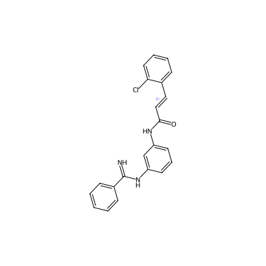 N=C(Nc1cccc(NC(=O)/C=C/c2ccccc2Cl)c1)c1ccccc1